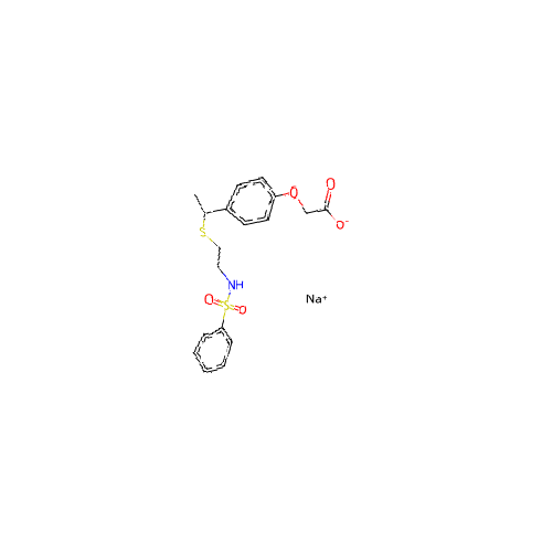 CC(SCCNS(=O)(=O)c1ccccc1)c1ccc(OCC(=O)[O-])cc1.[Na+]